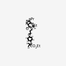 CCCC1=NN=C2C(=O)N(CCCOc3ccc(SC(C)(C)C(=O)OCC)cc3)C(C)(CC)N=C12